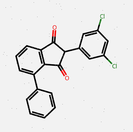 O=C1c2cccc(-c3ccccc3)c2C(=O)C1c1cc(Cl)cc(Cl)c1